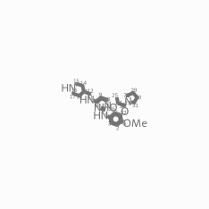 COc1ccc(Nc2nccc(NCC3CCNCC3)n2)cc1OC(C(C)O)N1CCCC1